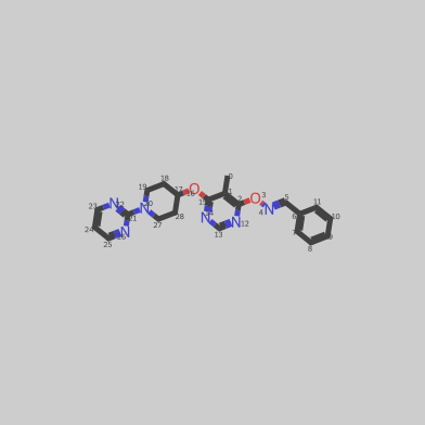 Cc1c(ON=Cc2ccccc2)ncnc1OC1CCN(c2ncccn2)CC1